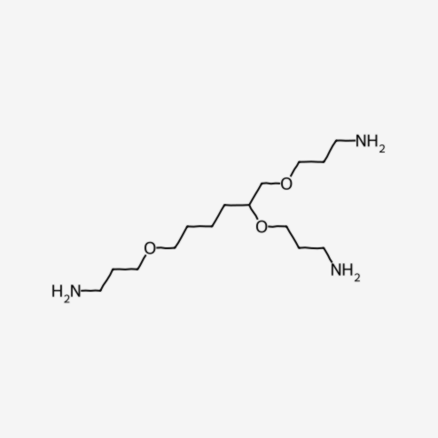 NCCCOCCCCC(COCCCN)OCCCN